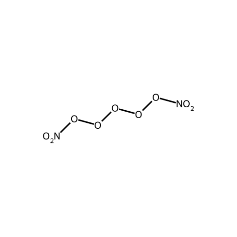 O=[N+]([O-])OOOOO[N+](=O)[O-]